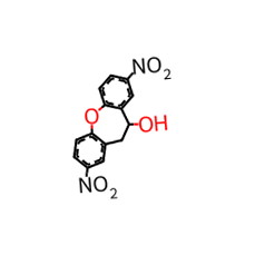 O=[N+]([O-])c1ccc2c(c1)CC(O)c1cc([N+](=O)[O-])ccc1O2